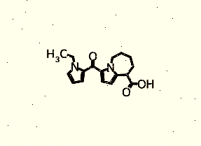 CCn1cccc1C(=O)c1ccc2n1CCCCC2C(=O)O